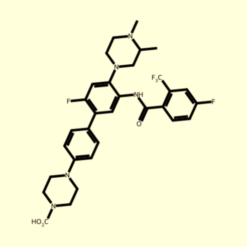 CC1CN(c2cc(F)c(-c3ccc(N4CCN(C(=O)O)CC4)cc3)cc2NC(=O)c2ccc(F)cc2C(F)(F)F)CCN1C